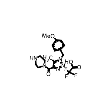 COc1ccc(Cn2nnc(C(=O)N3CCNCC3)c2C)cc1.O=C(O)C(F)(F)F